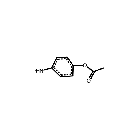 CC(=O)Oc1ccc([NH])cc1